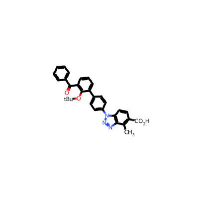 Cc1c(C(=O)O)ccc2c1nnn2-c1ccc(-c2cccc(C(=O)c3ccccc3)c2OC(C)(C)C)cc1